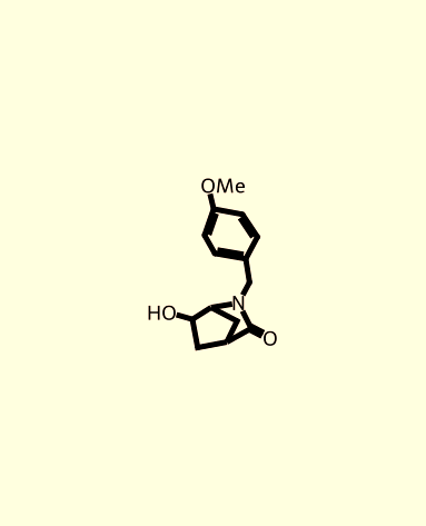 COc1ccc(CN2C(=O)C3CC(O)C2C3)cc1